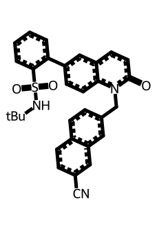 CC(C)(C)NS(=O)(=O)c1ccccc1-c1ccc2c(ccc(=O)n2Cc2ccc3ccc(C#N)cc3c2)c1